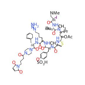 CC[C@H](C)[C@H](NC(=O)[C@H](I)CNC)C(=O)N(C)[C@H](C[C@@H](OC(C)=O)C1NC(C(=O)N(C)[C@@H](Cc2ccc(OS(=O)(=O)O)cc2)C(=O)N[C@H](CCCCN=NN)C(=O)N[C@@H](CC2=CC=CCC2)C(=O)N2CCN(C(=O)CCCN3C(=O)C=CC3=O)CC2)=CS1)C(C)C